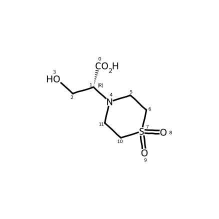 O=C(O)[C@@H](CO)N1CCS(=O)(=O)CC1